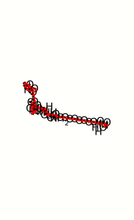 COc1cc2c(cc1OCCCCCOc1cc3c(cc1OC)C(=O)N1C=C(C)C[C@@]1(N)[C@H](O)N3C(=O)OCc1ccc(NC(=O)[C@H](C)NC(=O)CN(N)C(=O)CCOCCOCCOCCOCCOCCOCCOCCOCCNC(=O)CCN3C(=O)CC(C)C3O)cc1)N=CC1CC(C)=CN1C2=O